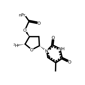 [2H][C@H]1O[C@@H](n2cc(C)c(=O)[nH]c2=O)C[C@@H]1OC(=O)CCC